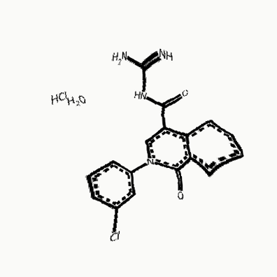 Cl.N=C(N)NC(=O)c1cn(-c2cccc(Cl)c2)c(=O)c2ccccc12.O